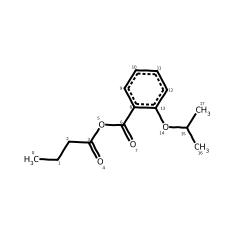 CCCC(=O)OC(=O)c1ccccc1OC(C)C